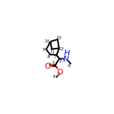 CNC(C(=O)OC)C1CCC2CC1C2